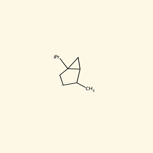 CC1[CH]CC2(C(C)C)CC12